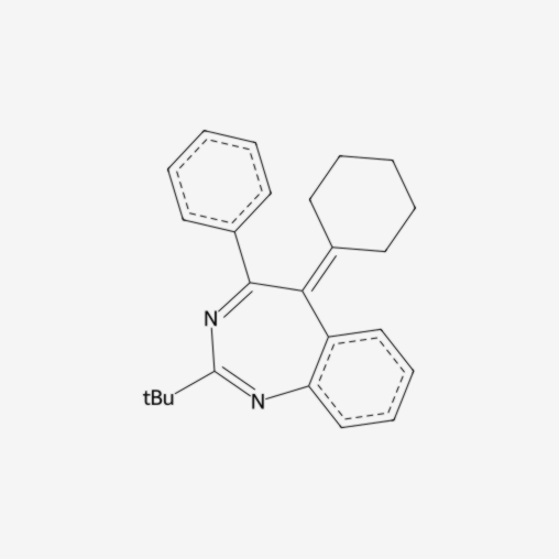 CC(C)(C)C1=Nc2ccccc2C(=C2CCCCC2)C(c2ccccc2)=N1